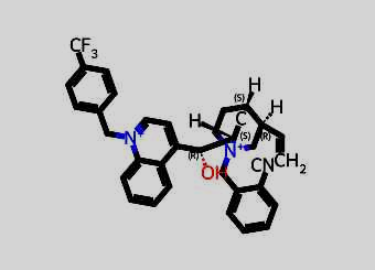 C=C[C@H]1C[N+]2(Cc3ccccc3C#N)CC[C@H]1C[C@H]2[C@H](O)c1cc[n+](Cc2ccc(C(F)(F)F)cc2)c2ccccc12